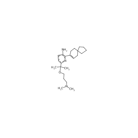 CN(C)CCCOC(C)(C)c1ccc(N)c(C2=CCC3(CCCC3)CC2)n1